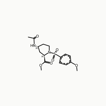 COC(=O)[C@H]1C[C@H](NC(C)=O)CCN1S(=O)(=O)c1ccc(OC)cc1